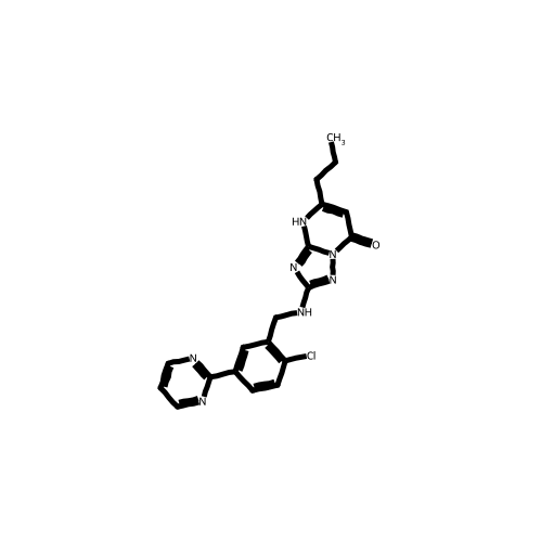 CCCc1cc(=O)n2nc(NCc3cc(-c4ncccn4)ccc3Cl)nc2[nH]1